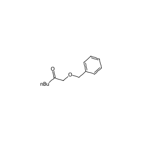 CCCCC(=O)COCc1ccccc1